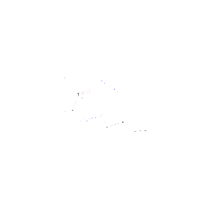 CCCCCNC(C)C(=O)O.NN